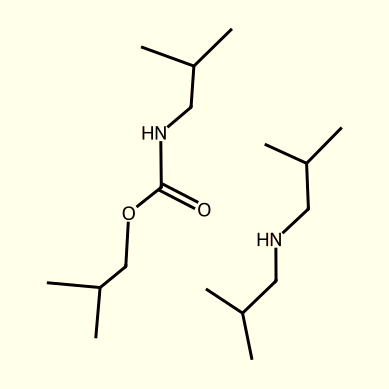 CC(C)CNC(=O)OCC(C)C.CC(C)CNCC(C)C